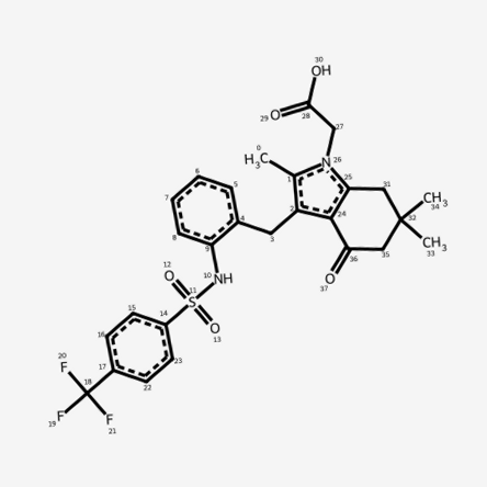 Cc1c(Cc2ccccc2NS(=O)(=O)c2ccc(C(F)(F)F)cc2)c2c(n1CC(=O)O)CC(C)(C)CC2=O